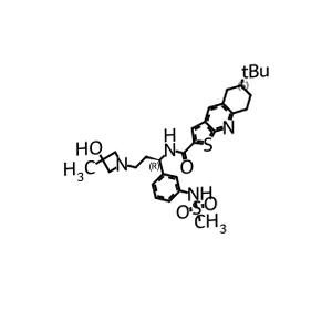 CC1(O)CN(CC[C@@H](NC(=O)c2cc3cc4c(nc3s2)CC[C@H](C(C)(C)C)C4)c2cccc(NS(C)(=O)=O)c2)C1